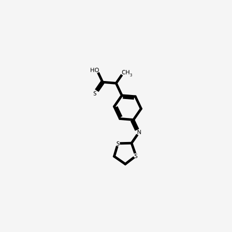 CC(C(O)=S)C1=CCC(=NC2SCCS2)C=C1